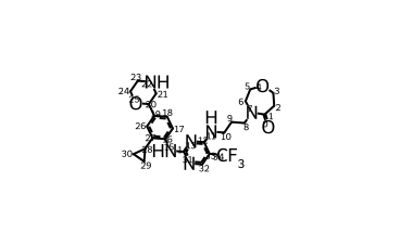 O=C1CCOCCN1CCCNc1nc(Nc2ccc(C3CNCCO3)cc2C2CC2)ncc1C(F)(F)F